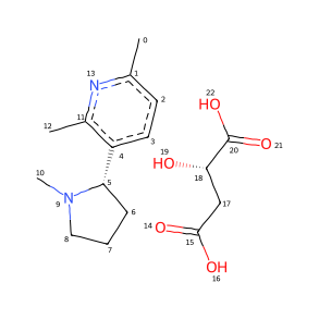 Cc1ccc([C@@H]2CCCN2C)c(C)n1.O=C(O)C[C@H](O)C(=O)O